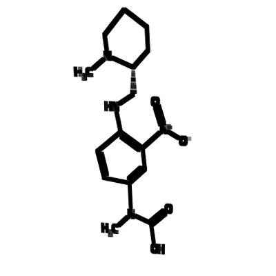 CN(C(=O)O)c1ccc(NC[C@H]2CCCCN2C)c([N+](=O)[O-])c1